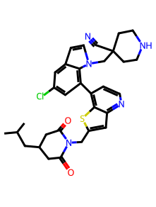 CC(C)CC1CC(=O)N(Cc2cc3nccc(-c4cc(Cl)cc5ccn(CC6(C#N)CCNCC6)c45)c3s2)C(=O)C1